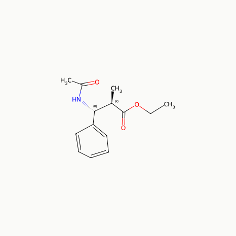 CCOC(=O)[C@H](C)[C@@H](NC(C)=O)c1ccccc1